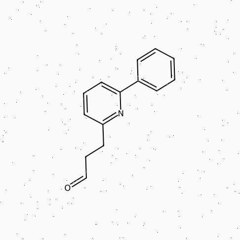 O=CCCc1cccc(-c2ccccc2)n1